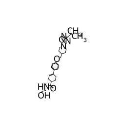 CC(C)c1noc(N2CCC(COc3ccc(C4=CCC(C(=O)NCCO)CC4)cc3)CC2)n1